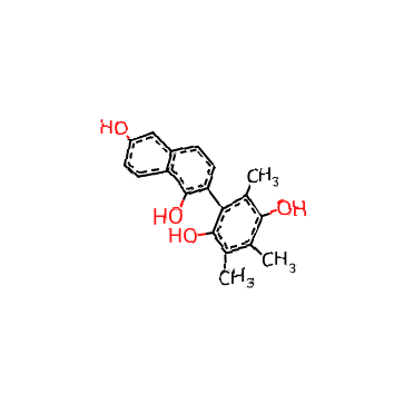 Cc1c(C)c(O)c(-c2ccc3cc(O)ccc3c2O)c(C)c1O